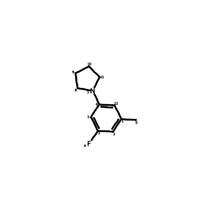 Cc1cc(F)cc(N2CCCC2)c1